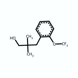 CC(C)(CO)Cc1cc[c]cc1OC(F)(F)F